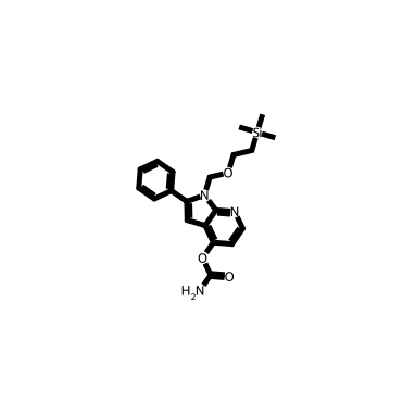 C[Si](C)(C)CCOCn1c(-c2ccccc2)cc2c(OC(N)=O)ccnc21